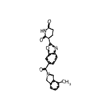 Cc1cccc2c1CN(C(=O)c1ccc3nc(C4CCC(=O)NC4=O)oc3c1)C2